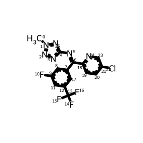 Cn1nnc(/N=C(\c2cc(F)cc(C(F)(F)F)c2)c2ccc(Cl)cn2)n1